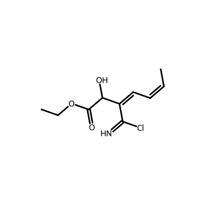 C/C=C\C=C(/C(=N)Cl)C(O)C(=O)OCC